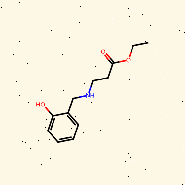 CCOC(=O)CCNCc1ccccc1O